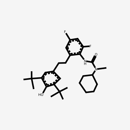 CN(C(=O)Nc1c(F)cc(F)cc1CCc1cc(C(C)(C)C)c(O)c(C(C)(C)C)c1)C1CCCCC1